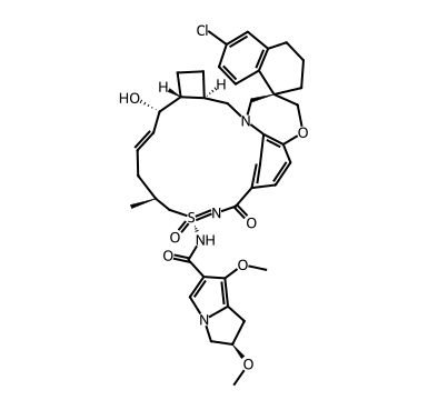 COc1c(C(=O)N[S@@]2(=O)=NC(=O)c3ccc4c(c3)N(C[C@@H]3CC[C@H]3[C@@H](O)/C=C/C[C@H](C)C2)C[C@@]2(CCCc3cc(Cl)ccc32)CO4)cn2c1C[C@@H](OC)C2